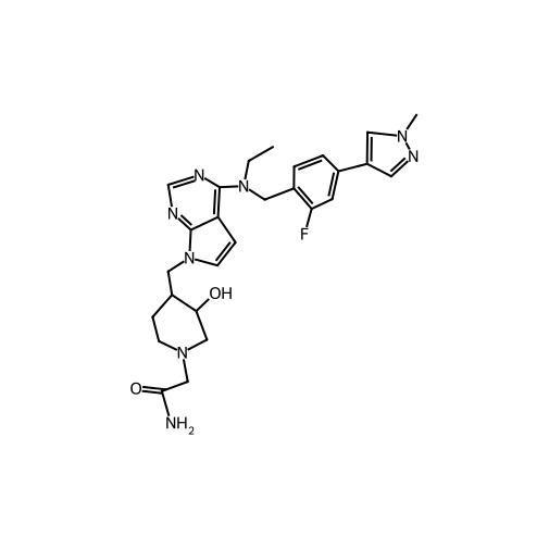 CCN(Cc1ccc(-c2cnn(C)c2)cc1F)c1ncnc2c1ccn2CC1CCN(CC(N)=O)CC1O